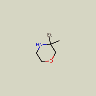 CCC1(C)COCCN1